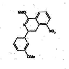 COc1cccc(-c2cc3c([N+](=O)[O-])cccc3c(OC)n2)c1